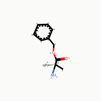 CCC[C@](C)(N)C(=O)OCc1ccccc1